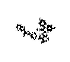 CC1(CNC(=O)OC[C@@H]2CO[C@H](CCc3c(F)cncc3NC(=O)[C@@H](N)C(c3ccc(F)cc3)c3ccc(F)cc3)CN2)CCCO1